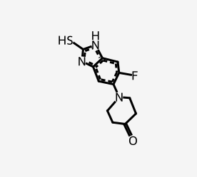 O=C1CCN(c2cc3nc(S)[nH]c3cc2F)CC1